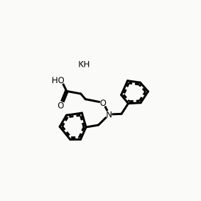 O=C(O)CCON(Cc1ccccc1)Cc1ccccc1.[KH]